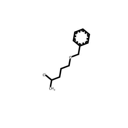 CC(Cl)CCCO[CH]c1ccccc1